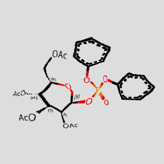 CC(=O)OC[C@H]1O[C@@H](OP(=O)(Oc2ccccc2)Oc2ccccc2)[C@@H](OC(C)=O)[C@@H](OC(C)=O)[C@@H]1OC(C)=O